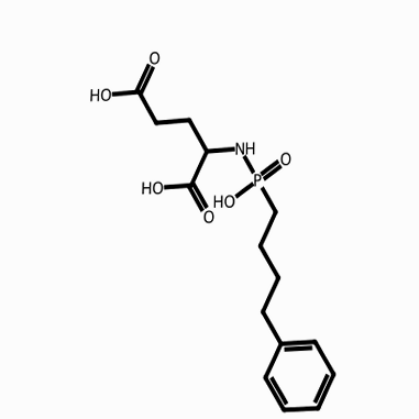 O=C(O)CCC(NP(=O)(O)CCCCc1ccccc1)C(=O)O